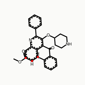 COC(=O)NNc1ccccc1C(=O)c1c(OC2CCNCC2)c(-c2ccccc2)nc2ccccc12